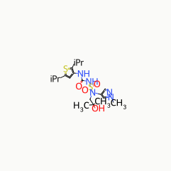 CC(C)c1cc(NC(=O)NS(=O)(=O)N(CC(C)(C)O)c2cnn(C)c2)c(C(C)C)s1